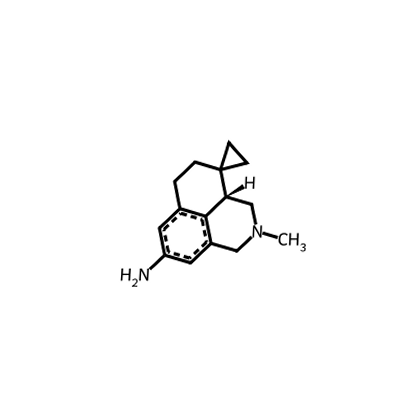 CN1Cc2cc(N)cc3c2[C@@H](C1)C1(CC3)CC1